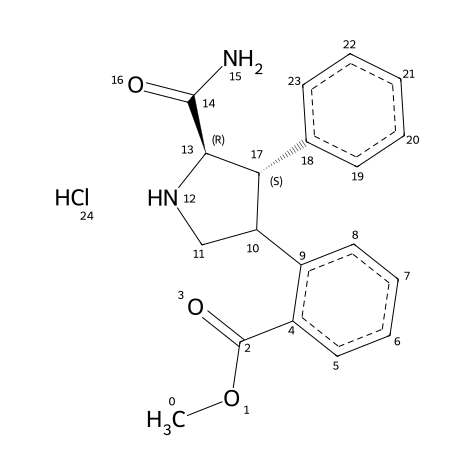 COC(=O)c1ccccc1C1CN[C@@H](C(N)=O)[C@@H]1c1ccccc1.Cl